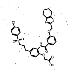 O=C(O)COc1ccc(CCCS(=O)(=O)c2ccc(Cl)cc2)cc1NC(=O)c1cccc(OCc2nc3c(s2)CCCC3)c1